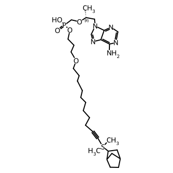 C[C@H](Cn1cnc2c(N)ncnc21)OCP(=O)(O)OCCCOCCCCCCCCCC#CS(C)(C)C1CC2CCC1C2